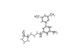 Cc1cc(C)cc(-c2cc(NCCCN3CCCC3=O)nc(N)n2)c1